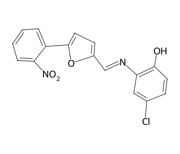 O=[N+]([O-])c1ccccc1-c1ccc(/C=N/c2cc(Cl)ccc2O)o1